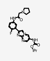 CC(C)OC(=O)Nc1cnc2nc(-c3cc(NC(=O)CN4CCCC4)ccc3F)cn2c1